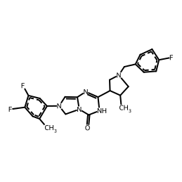 Cc1cc(F)c(F)cc1N1C=C2N=C(C3CN(Cc4ccc(F)cc4)CC3C)NC(=O)N2C1